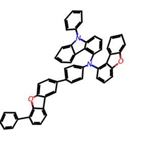 c1ccc(-c2cccc3c2oc2ccc(-c4ccc(N(c5cccc6oc7ccccc7c56)c5cccc6c5c5ccccc5n6-c5ccccc5)cc4)cc23)cc1